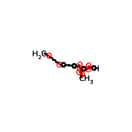 C=CCOCCCCCCOc1ccc(C#Cc2ccc(C(=O)Oc3ccc(OC(=O)c4ccc(I)cc4)cc3C(=O)OCC)cc2)cc1